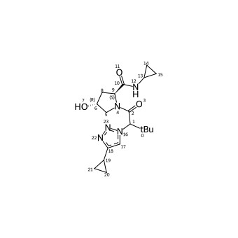 CC(C)(C)C(C(=O)N1C[C@H](O)C[C@H]1C(=O)NC1CC1)n1cc(C2CC2)nn1